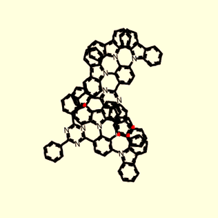 c1ccc(-c2cc(-c3ccccc3)nc(-c3ccc(-n4c5ccccc5c5ccccc54)c(-n4c5ccccc5c5ccccc54)c3-n3c4ccccc4c4cc(-c5cccc(-c6nc(-c7ccccc7)nc(-c7ccc(-n8c9ccccc9c9ccccc98)c(-n8c9ccccc9c9ccccc98)c7-n7c8ccccc8c8ccccc87)n6)c5)ccc43)n2)cc1